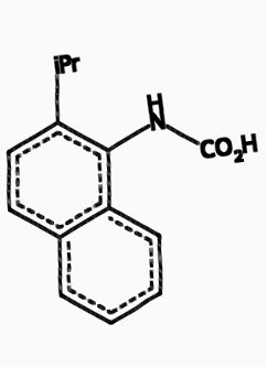 CC(C)c1ccc2ccccc2c1NC(=O)O